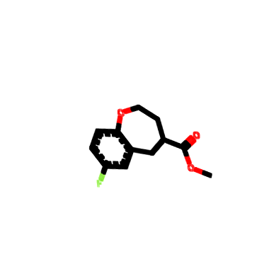 COC(=O)C1CCOc2ccc(F)cc2C1